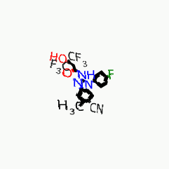 Cc1cc2nc(NC(=O)CC(O)(C(F)(F)F)C(F)(F)F)n(-c3ccc(F)cc3)c2cc1C#N